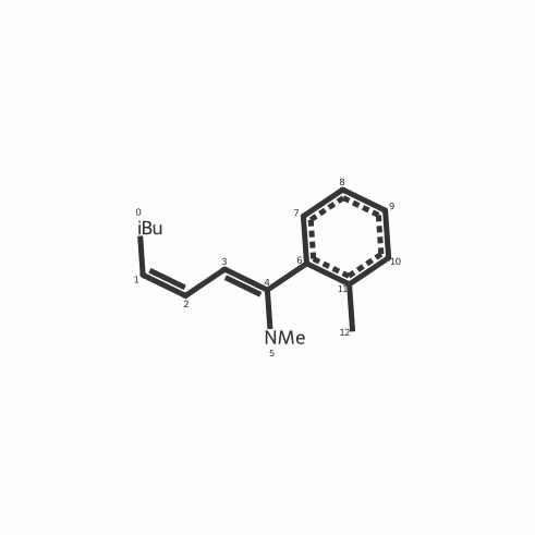 CCC(C)/C=C\C=C(/NC)c1ccccc1C